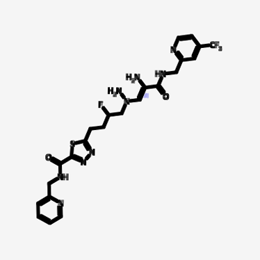 N/C(=C\N(N)CC(F)CCc1nnc(C(=O)NCc2ccccn2)s1)C(=O)NCc1cc(C(F)(F)F)ccn1